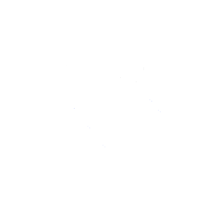 CC1(C)Cc2c(-c3cc(NC(=O)NC4CCCCC4)ncc3Cl)cnn2C1